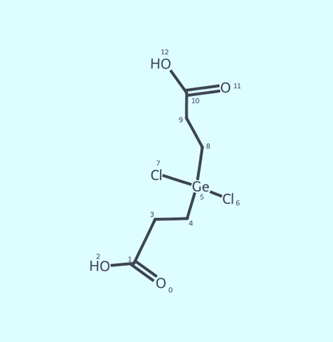 O=C(O)C[CH2][Ge]([Cl])([Cl])[CH2]CC(=O)O